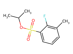 Cc1cccc(S(=O)(=O)OC(C)C)c1F